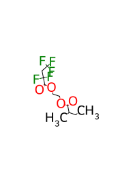 CCC(C)C(=O)OCCOC(=O)C(F)(F)CC(F)(F)F